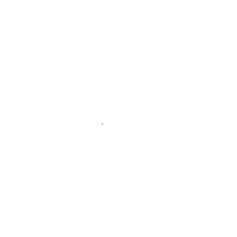 CC(CO)C(NC(=O)OCc1ccccc1)C(=O)O